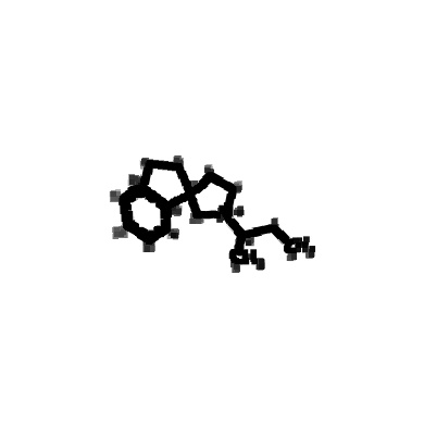 CCC(C)N1CCC2(CCc3ccccc32)C1